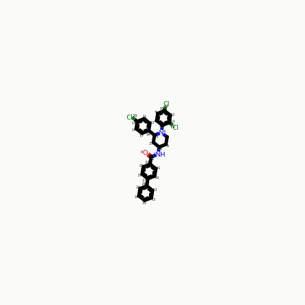 O=C(NC1CCN(c2ccc(Cl)cc2Cl)C(c2ccc(Cl)cc2)C1)c1ccc(-c2ccccc2)cc1